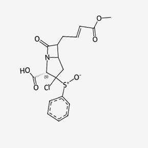 COC(=O)C=CCC1C(=O)N2C1CC(Cl)([S+]([O-])c1ccccc1)[C@@H]2C(=O)O